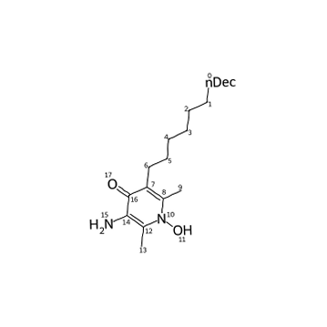 CCCCCCCCCCCCCCCCc1c(C)n(O)c(C)c(N)c1=O